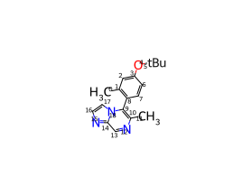 Cc1cc(OC(C)(C)C)ccc1-c1c(C)ncc2nccn12